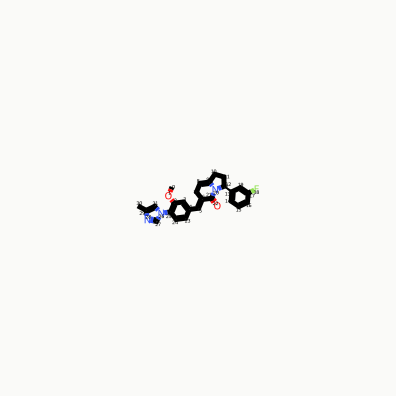 COc1cc(C=C2CC=C3CC[C@@H](c4cccc(F)c4)N3C2=O)ccc1-n1cnc(C)c1